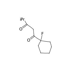 CC(C)C(=O)CC(=O)C1(F)CCCCC1